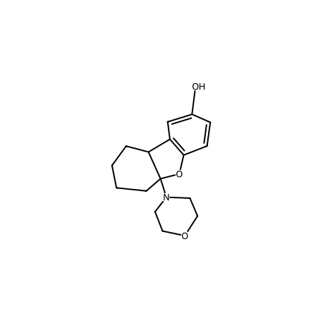 Oc1ccc2c(c1)C1CCCCC1(N1CCOCC1)O2